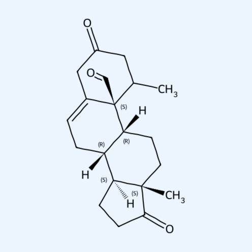 CC1CC(=O)CC2=CC[C@@H]3[C@@H](CC[C@]4(C)C(=O)CC[C@@H]34)[C@]21C=O